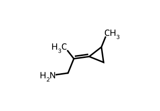 CC(CN)=C1CC1C